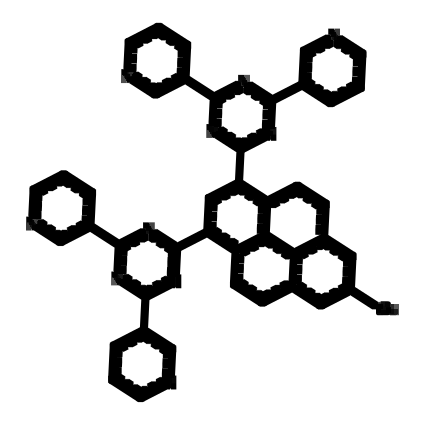 CC(C)(C)c1cc2ccc3c(-c4nc(-c5cccnc5)nc(-c5cccnc5)n4)cc(-c4nc(-c5cccnc5)nc(-c5cccnc5)n4)c4ccc(c1)c2c34